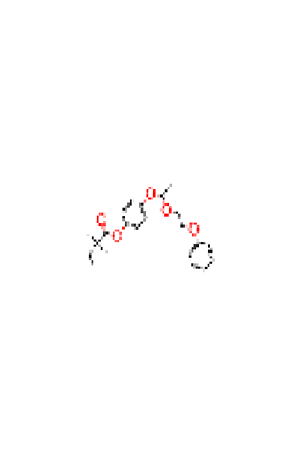 CCC(C)(C)C(=O)Oc1ccc(OC(C)OCCOc2ccccc2)cc1